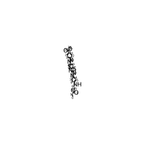 C=CC(=O)OCCNc1ccc(N=Nc2nc3sc(N=Nc4ccc(C(=O)OC)cc4)cc3s2)cc1